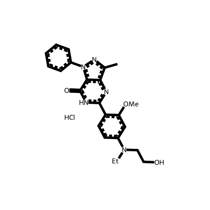 CCN(CCO)c1ccc(-c2nc3c(C)nn(-c4ccccc4)c3c(=O)[nH]2)c(OC)c1.Cl